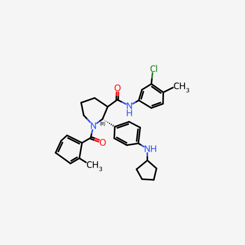 Cc1ccc(NC(=O)C2CCCN(C(=O)c3ccccc3C)[C@H]2c2ccc(NC3CCCC3)cc2)cc1Cl